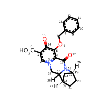 O=C(O)c1cn2c(c(OCc3ccccc3)c1=O)C(=O)N1[C@H]3CC[C@H](C3)[C@@H]1C2